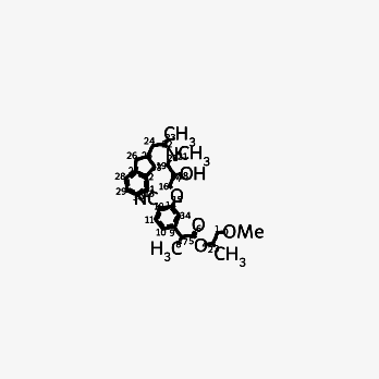 COCC(C)OC(=O)C(C)c1ccc(C#N)c(OC[C@H](O)CN(C)C(C)CC2Cc3ccccc3C2)c1